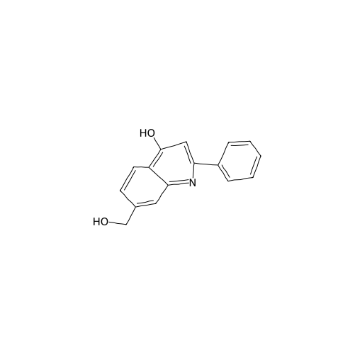 OCc1ccc2c(O)cc(-c3ccccc3)nc2c1